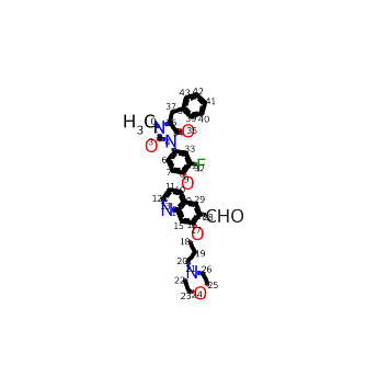 CN1C(=O)N(c2ccc(Oc3ccnc4cc(OCCCN5CCOCC5)c(C=O)cc34)c(F)c2)C(=O)C1Cc1ccccc1